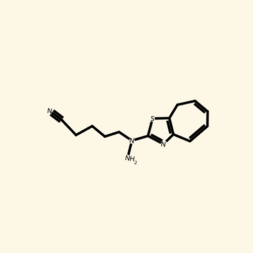 N#CCCCCN(N)c1nc2c(s1)CC=CC=C2